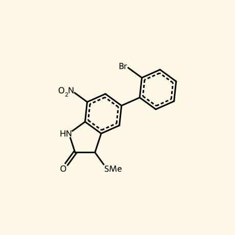 CSC1C(=O)Nc2c1cc(-c1ccccc1Br)cc2[N+](=O)[O-]